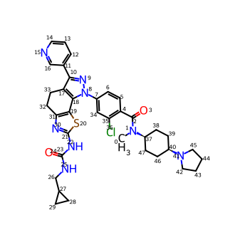 CN(C(=O)c1ccc(-n2nc(-c3cccnc3)c3c2-c2sc(NC(=O)NCC4CC4)nc2CC3)cc1Cl)[C@H]1CC[C@@H](N2CCCC2)CC1